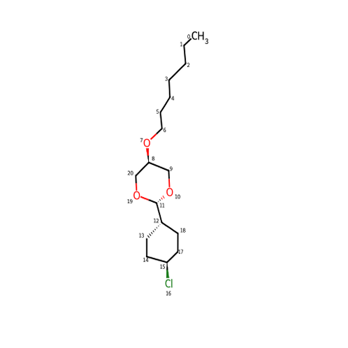 CCCCCCCO[C@H]1CO[C@H]([C@H]2CC[C@H](Cl)CC2)OC1